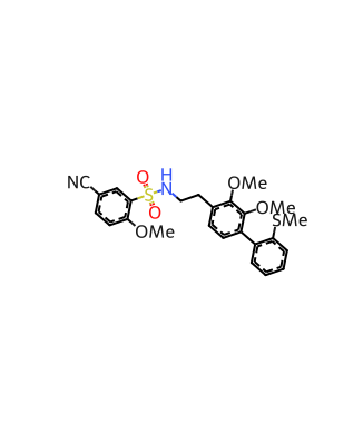 COc1ccc(C#N)cc1S(=O)(=O)NCCc1ccc(-c2ccccc2SC)c(OC)c1OC